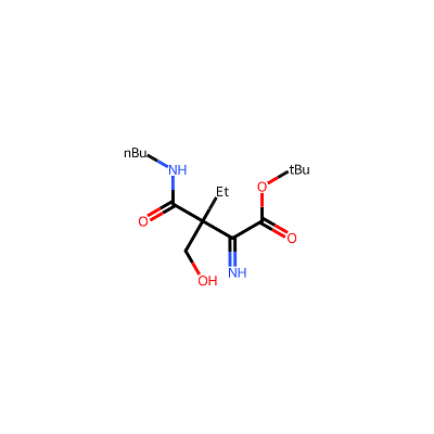 CCCCNC(=O)C(CC)(CO)C(=N)C(=O)OC(C)(C)C